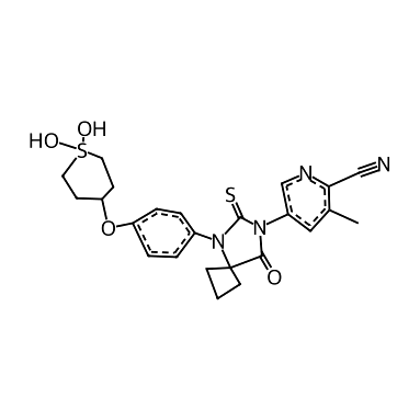 Cc1cc(N2C(=O)C3(CCC3)N(c3ccc(OC4CCS(O)(O)CC4)cc3)C2=S)cnc1C#N